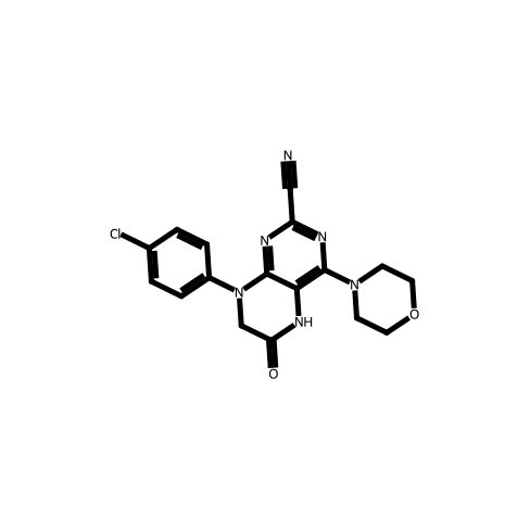 N#Cc1nc(N2CCOCC2)c2c(n1)N(c1ccc(Cl)cc1)CC(=O)N2